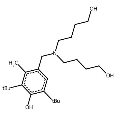 Cc1c(CN(CCCCO)CCCCO)cc(C(C)(C)C)c(O)c1C(C)(C)C